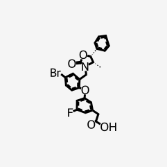 C[C@H]1[C@@H](c2ccccc2)OC(=O)N1Cc1cc(Br)ccc1Oc1cc(F)cc(CC(=O)O)c1